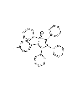 Cc1ccc(C2=C(c3ccccc3)C(c3ccccc3)=C(c3ccccc3)P2(=O)c2ccccc2)cc1